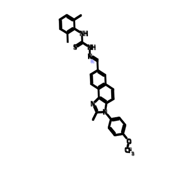 Cc1cccc(C)c1NC(=S)N/N=C/c1ccc2c(ccc3c2nc(C)n3-c2ccc(OC(F)(F)F)cc2)c1